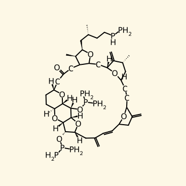 C=C1/C=C/C2CC(=C)C(CC[C@H]3C[C@@H](C)C(=C)[C@@H](CC4O[C@H](C[C@H](C)CCPP)[C@H](C)C4CC(=O)C[C@H]4CC[C@@H]5O[C@@H]6[C@@H](O[C@H](C1)[C@@H]6OP(P)P)[C@@H](OP(P)P)[C@H]5O4)O3)O2